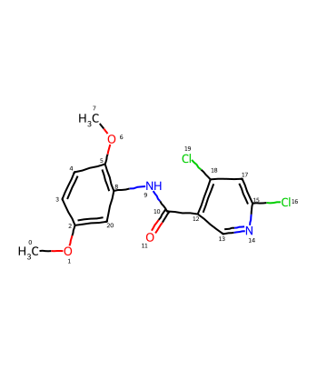 COc1ccc(OC)c(NC(=O)c2cnc(Cl)cc2Cl)c1